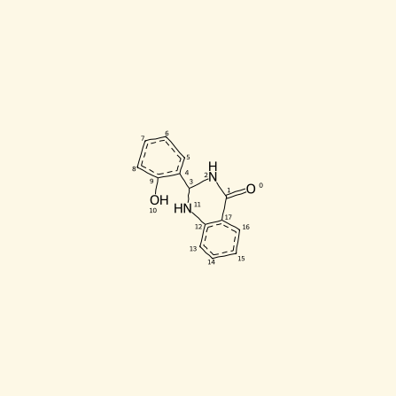 O=C1NC(c2ccccc2O)Nc2ccccc21